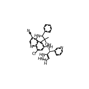 CC(C)(O)C(Nc1c(C#N)cnc2c(Cl)cc(N[C@H](C3=CNNN3)c3cccnc3)cc12)c1ccccc1